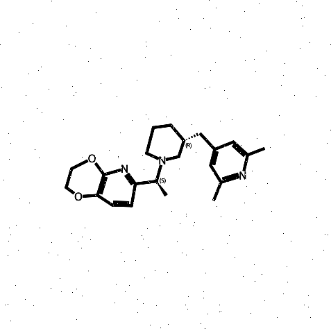 Cc1cc(C[C@H]2CCCN([C@@H](C)c3ccc4c(n3)OCCO4)C2)cc(C)n1